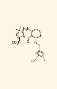 Cc1sc(COc2cccc(N)c2C(=O)[C@H]2OC(C)(C)O[C@@H]2C(=O)O)nc1C(C)C